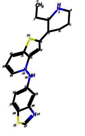 CCC1NCCCC1C1C=C2C(=CC=CN2Nc2ccc3scnc3c2)S1